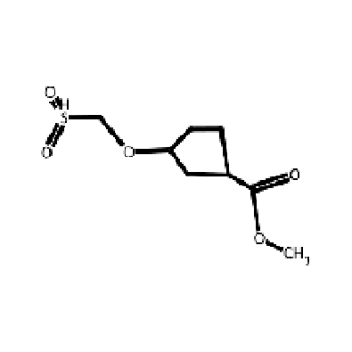 COC(=O)C1CCC(OC[SH](=O)=O)C1